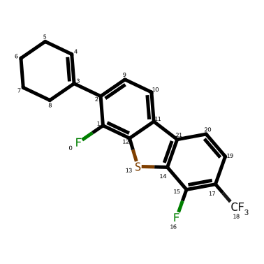 Fc1c(C2=CCCCC2)ccc2c1sc1c(F)c(C(F)(F)F)ccc12